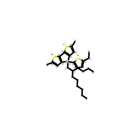 CCCCCCC(CCCC)C[Si]1(c2ccc(CC)s2)c2cc(C)sc2-c2sc(C)cc21